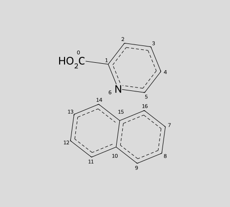 O=C(O)c1ccccn1.c1ccc2ccccc2c1